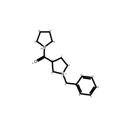 O=C(C1CCN(Cc2ccccc2)C1)N1CCCC1